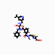 CC(C)c1cncc(CNC[C@@H](O)[C@H](Cc2ccccc2)NC(=O)c2cccc(C(=O)N(C)Cc3nc(CO)cs3)c2)c1